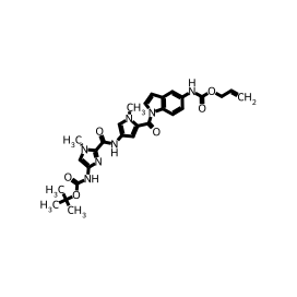 C=CCOC(=O)Nc1ccc2c(ccn2C(=O)c2cc(NC(=O)c3nc(NC(=O)OC(C)(C)C)cn3C)cn2C)c1